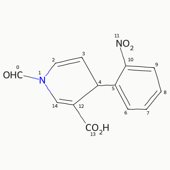 O=CN1C=CC(c2ccccc2[N+](=O)[O-])C(C(=O)O)=C1